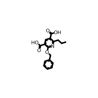 CCCc1nc(OCc2ccccc2)c(C(=O)O)cc1C(=O)O